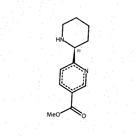 COC(=O)c1ccc([C@@H]2CCCCN2)nc1